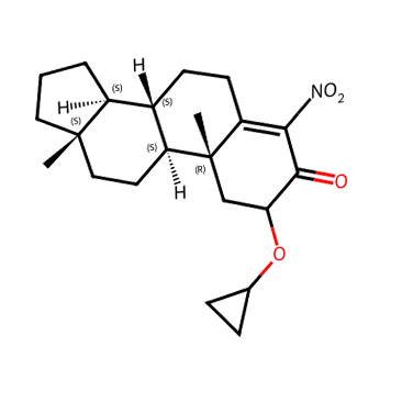 C[C@@]12CCC[C@H]1[C@@H]1CCC3=C([N+](=O)[O-])C(=O)C(OC4CC4)C[C@]3(C)[C@H]1CC2